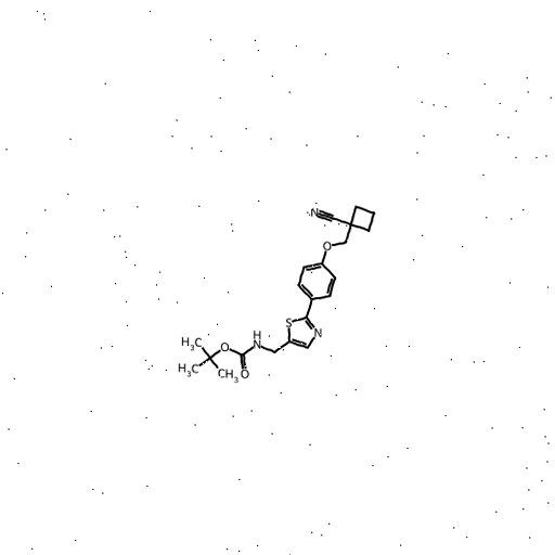 CC(C)(C)OC(=O)NCc1cnc(-c2ccc(OCC3(C#N)CCC3)cc2)s1